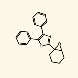 c1ccc(-c2nc(C34CCCCC3O4)oc2-c2ccccc2)cc1